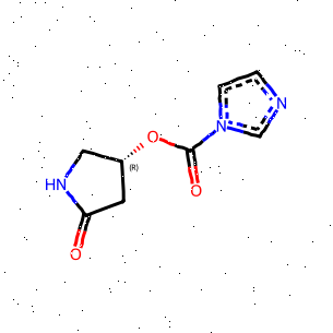 O=C1C[C@@H](OC(=O)n2ccnc2)CN1